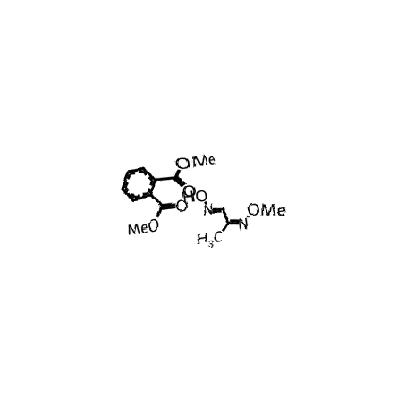 COC(=O)c1ccccc1C(=O)OC.CON=C(C)C=NO